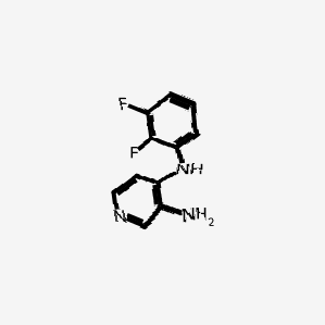 Nc1cnccc1Nc1cccc(F)c1F